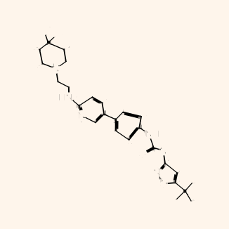 CC(C)(C)c1cc(NC(=O)Nc2ccc(-c3ccc(NCCN4CCC(F)(F)CC4)nc3)cc2)no1